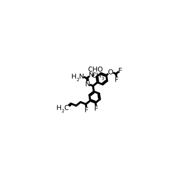 C=CCCC(F)c1cc(C(/N=C(/N)N(C)C=O)c2ccc(OC(F)F)cc2)ccc1F